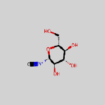 [C-]#[N+][C@@H]1O[C@H](CO)[C@@H](O)[C@H](O)[C@H]1O